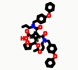 CCCN(Cc1ccc(Oc2ccccc2)cc1)C(=O)[C@H]1[C@@H](C(=O)O)[C@@H](C(OC(C)=O)c2ccco2)[C@@H]1C(=O)N(CCC)Cc1ccc(Oc2ccccc2)cc1